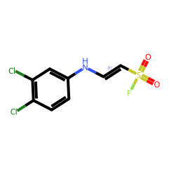 O=S(=O)(F)/C=C/Nc1ccc(Cl)c(Cl)c1